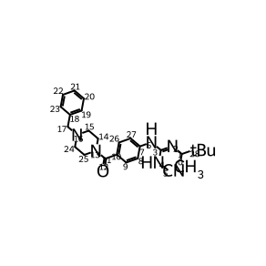 CC(/N=C(\NC#N)Nc1ccc(C(=O)N2CCN(Cc3ccccc3)CC2)cc1)C(C)(C)C